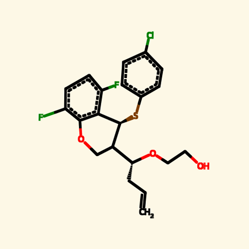 C=CC[C@@H](OCCO)C1COc2c(F)ccc(F)c2[C@H]1Sc1ccc(Cl)cc1